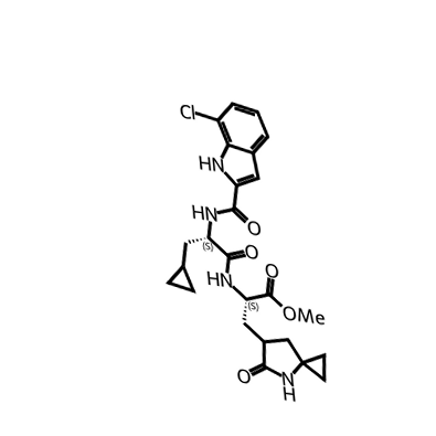 COC(=O)[C@H](CC1CC2(CC2)NC1=O)NC(=O)[C@H](CC1CC1)NC(=O)c1cc2cccc(Cl)c2[nH]1